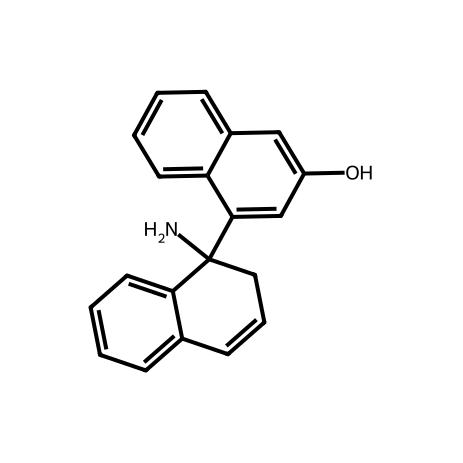 NC1(c2cc(O)cc3ccccc23)CC=Cc2ccccc21